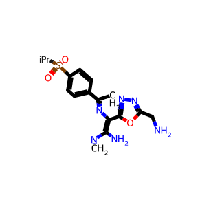 C=N/C(N)=C(\N=C(/C)c1ccc(S(=O)(=O)C(C)C)cc1)c1nnc(CN)o1